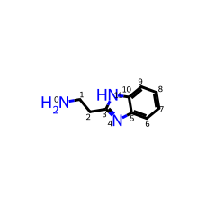 NCCc1nc2ccccc2[nH]1